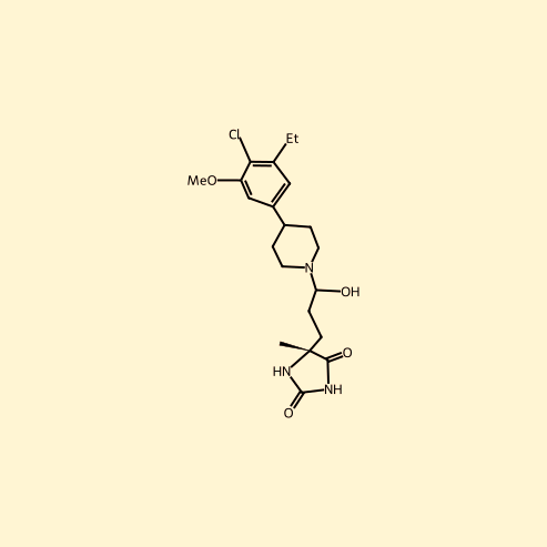 CCc1cc(C2CCN(C(O)CC[C@@]3(C)NC(=O)NC3=O)CC2)cc(OC)c1Cl